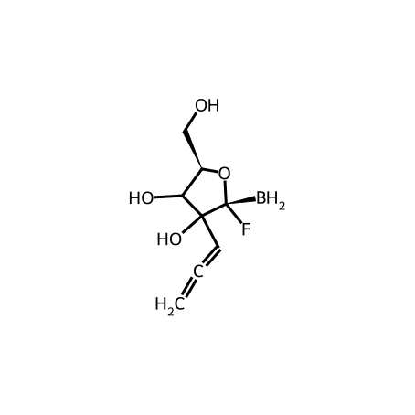 B[C@]1(F)O[C@H](CO)C(O)C1(O)C=C=C